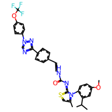 COc1ccc(-n2c(C)cs/c2=N\C(=O)N/C=C/c2ccc(-c3ncn(-c4ccc(OC(F)(F)F)cc4)n3)cc2)c(C(C)C)c1